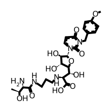 COc1ccc(Cn2c(=O)ccn([C@@H]3OC([C@H](O)[C@H](NCCCNC(=O)[C@@H](N)[C@H](C)O)C(=O)O)[C@H](O)[C@H]3O)c2=O)cc1